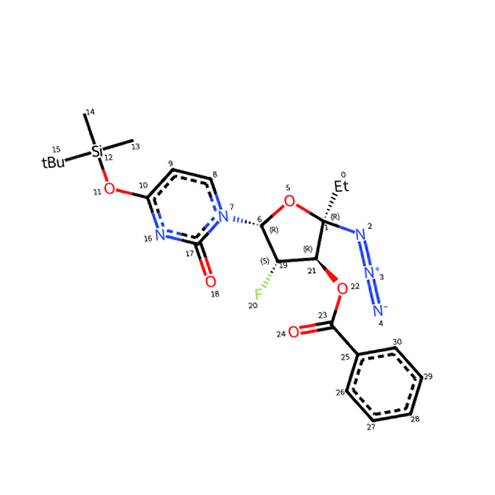 CC[C@@]1(N=[N+]=[N-])O[C@@H](n2ccc(O[Si](C)(C)C(C)(C)C)nc2=O)[C@@H](F)[C@@H]1OC(=O)c1ccccc1